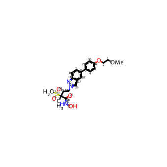 COCCOc1ccc(-c2ccc3nn(CC[C@](C)(C(=O)NO)S(C)(=O)=O)cc3c2)cc1